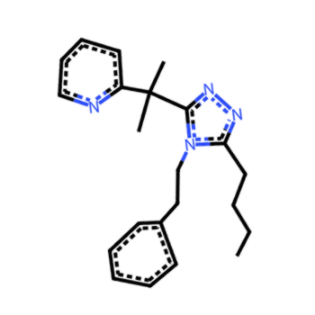 CCCCc1nnc(C(C)(C)c2ccccn2)n1CCc1ccccc1